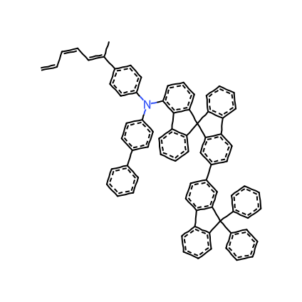 C=C/C=C\C=C(/C)c1ccc(N(c2ccc(-c3ccccc3)cc2)c2cccc3c2-c2ccccc2C32c3ccccc3-c3ccc(-c4ccc5c(c4)C(c4ccccc4)(c4ccccc4)c4ccccc4-5)cc32)cc1